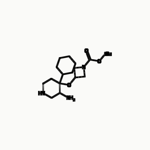 CC(C)(C)OC(=O)N1CC(OC2(C3CCCCC3)CCNCC2N)C1